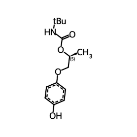 C[C@@H](COc1ccc(O)cc1)OC(=O)NC(C)(C)C